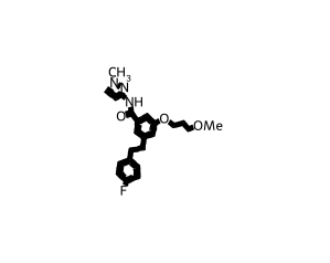 COCCCOc1cc(CCc2ccc(F)cc2)cc(C(=O)Nc2ccn(C)n2)c1